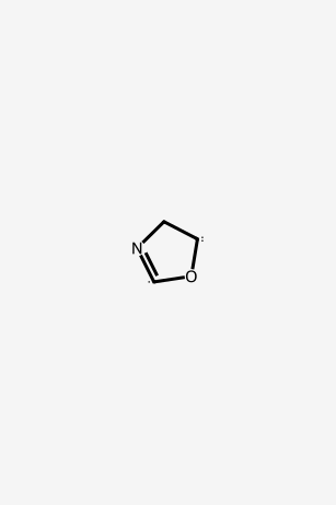 [C]1CN=[C]O1